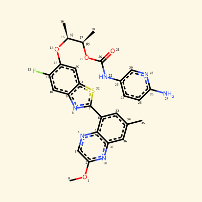 COc1cnc2c(-c3nc4cc(F)c(O[C@@H](C)[C@@H](C)OC(=O)Nc5ccc(N)nc5)cc4s3)cc(C)cc2n1